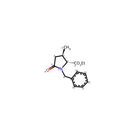 CCOC(=O)[C@H]1[C@H](C)CC(=O)N1Cc1ccccc1